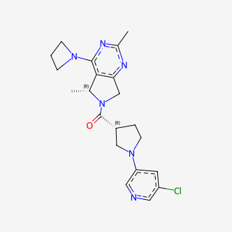 Cc1nc2c(c(N3CCC3)n1)[C@@H](C)N(C(=O)[C@@H]1CCN(c3cncc(Cl)c3)C1)C2